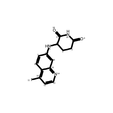 O=C1CCC(Nc2ccc3c(I)ccnc3c2)C(=O)N1